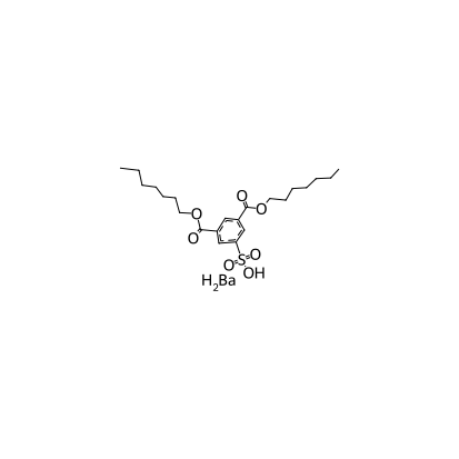 CCCCCCCOC(=O)c1cc(C(=O)OCCCCCCC)cc(S(=O)(=O)O)c1.[BaH2]